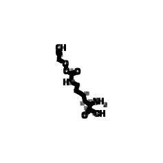 C#CCOOC(=O)NCCCCC(N)C(=O)O